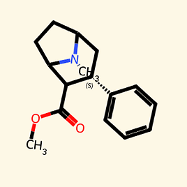 COC(=O)C1C2CCC(C[C@@H]1c1ccccc1)N2C